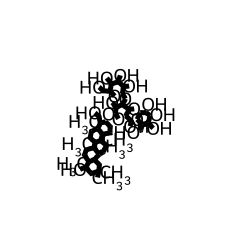 CC1(C)CC(O)C2(C)CCC3(C)C(=CCC4C5(C)CCC(OC6OC(CO)C(OC7OC(CO)C(O)C(O)C7O)C(OC7OC(CO)C(O)C(O)C7O)C6O)C(C)(CO)C5CCC43C)C2C1